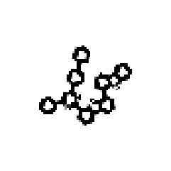 c1ccc(-c2ccc(-c3cc(-c4ccccc4)nc(-c4cccc5c4sc4c(-c6cccc7c6sc6ccccc67)cccc45)n3)cc2)cc1